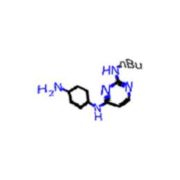 CCCCNc1nccc(NC2CCC(N)CC2)n1